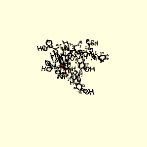 CC[C@H](C)[C@H](NC(=O)[C@H](Cc1ccc(O)cc1)NC(=O)[C@H](CCC(=O)O)NC(=O)[C@@H](N)Cc1ccccc1)C(=O)N[C@@H](CCC(=O)O)C(=O)N[C@@H](CCC(=O)O)C(=O)N[C@@H](CC(N)=O)C(=O)N[C@@H](CCCCN)C(=O)N[C@@H](Cc1ccc(O)cc1)C(=O)O